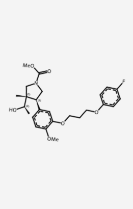 COC(=O)N1C[C@@H](c2ccc(OC)c(OCCCOc3ccc(F)cc3)c2)[C@](C)([C@@H](C)O)C1